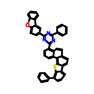 c1ccc(-c2nc(-c3ccc4oc5ccccc5c4c3)nc(-c3cccc4c3ccc3ccc5c6cccc(-c7ccccc7)c6sc5c34)n2)cc1